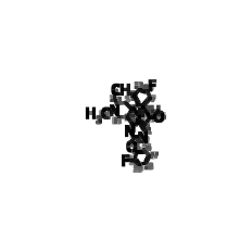 CCC1CC(c2ccc(F)cc2)(n2ccc(=O)[nH]2)C(c2ccnc(Oc3ccccc3F)n2)CN1C